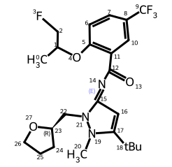 CC(CF)Oc1ccc(C(F)(F)F)cc1C(=O)/N=c1\cc(C(C)(C)C)n(C)n1C[C@H]1CCCO1